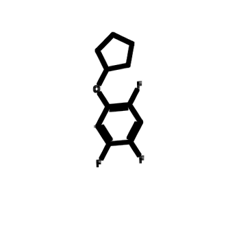 Fc1[c]c(OC2CCCC2)c(F)cc1F